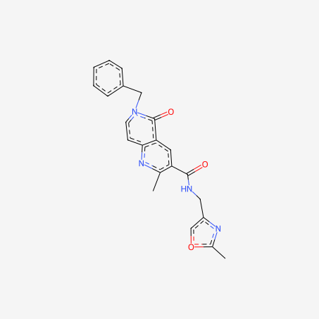 Cc1nc(CNC(=O)c2cc3c(=O)n(Cc4ccccc4)ccc3nc2C)co1